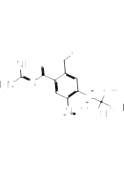 CCc1cc(S(=O)(=O)C(C)(C)C)c([N+](=O)[O-])cc1C(=O)N=C(N)N